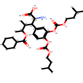 CC(C)CCOC(=O)Oc1ccc(C(C(C)C(C)OC(=O)C2CCCCC2)[C@H](N)C(=O)O)cc1OC(=O)OCCC(C)C